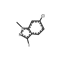 Cn1nc(I)c2ccc(Cl)cc21